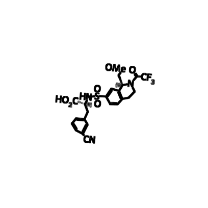 COC[C@@H]1c2cc(S(=O)(=O)N[C@H](Cc3cccc(C#N)c3)C(=O)O)ccc2CCN1C(=O)C(F)(F)F